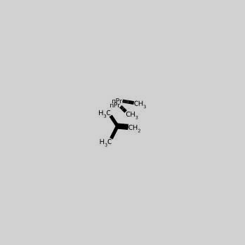 C=C(C)C.CCCC.CCCC